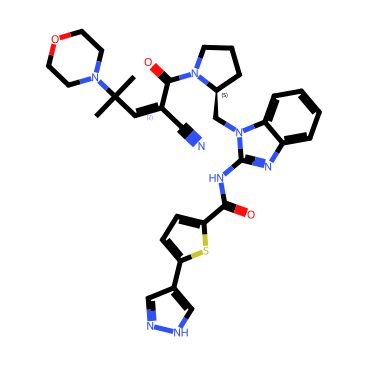 CC(C)(/C=C(/C#N)C(=O)N1CCC[C@H]1Cn1c(NC(=O)c2ccc(-c3cn[nH]c3)s2)nc2ccccc21)N1CCOCC1